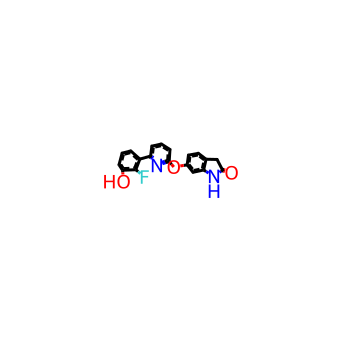 O=C1Cc2ccc(Oc3cccc(-c4cccc(O)c4F)n3)cc2N1